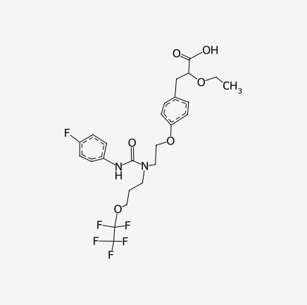 CCOC(Cc1ccc(OCCN(CCCOC(F)(F)C(F)(F)F)C(=O)Nc2ccc(F)cc2)cc1)C(=O)O